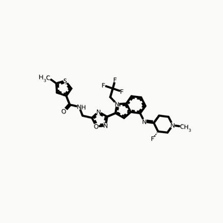 Cc1cc(C(=O)NCc2nc(-c3cc4c(/N=C5\CCN(C)C[C@@H]5F)cccc4n3CC(F)(F)F)no2)cs1